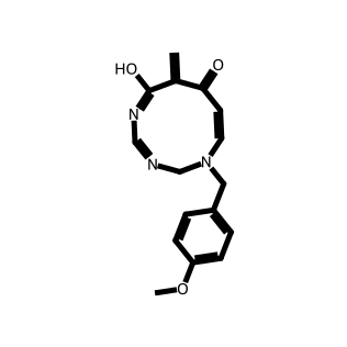 C=C1C(=O)/C=C\N(Cc2ccc(OC)cc2)C/N=C\N=C/1O